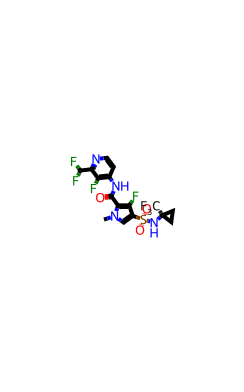 Cn1cc(S(=O)(=O)NC2(C(F)(F)F)CC2)c(F)c1C(=O)Nc1ccnc(C(F)F)c1F